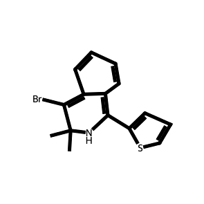 CC1(C)NC(c2cccs2)=c2ccccc2=C1Br